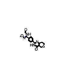 CO/N=C(\NC=O)c1ccc(-c2nc3c(c(=O)[nH]2)CSCC3)cc1